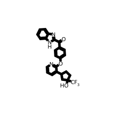 O=C(c1ccc(Oc2ncccc2C2CCC(O)(C(F)(F)F)C2)cc1)c1nc2ccccc2[nH]1